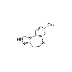 Oc1ccc2c(c1)N=CCC1=NNCN12